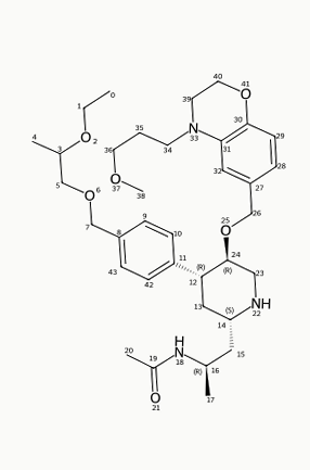 CCOC(C)COCc1ccc([C@H]2C[C@@H](C[C@@H](C)NC(C)=O)NC[C@@H]2OCc2ccc3c(c2)N(CCCOC)CCO3)cc1